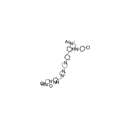 CC(=O)N1c2ccc(-c3ccc(N4CCC(N5CCN(Cc6ccc(N7CCC(=O)NC7=O)nn6)CC5)CC4)cc3)cc2C(Nc2ccc(Cl)cc2)CC1C